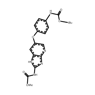 COC(=O)Nc1nc2ncc(Oc3ccc(NC(=O)OC(C)(C)C)cc3)cc2[nH]1